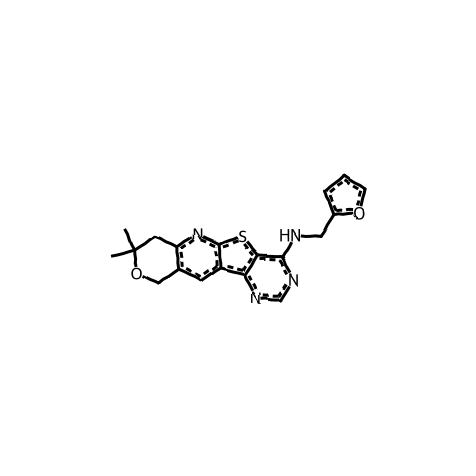 CC1(C)Cc2nc3sc4c(NCc5ccco5)ncnc4c3cc2CO1